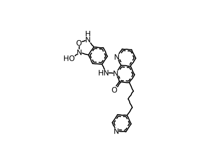 O=c1c(CCCc2ccncc2)cc2cccnc2n1Nc1ccc2c(c1)N(O)ON2